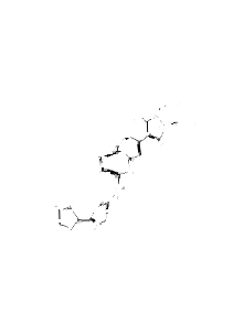 CC1C(c2cnc3ccc(Nc4nnc(C5CCCC5)s4)nc3c2)=CN(C)N1C